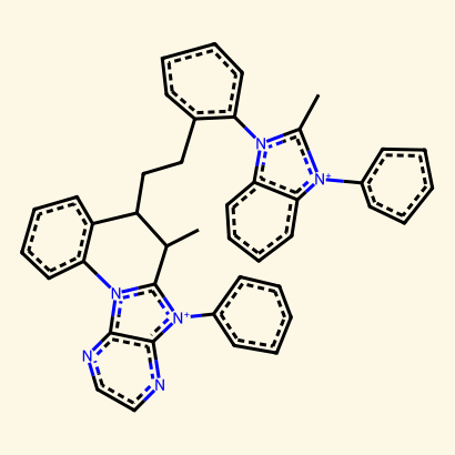 Cc1n(-c2ccccc2CCC2c3ccccc3-n3c([n+](-c4ccccc4)c4nccnc43)C2C)c2ccccc2[n+]1-c1ccccc1